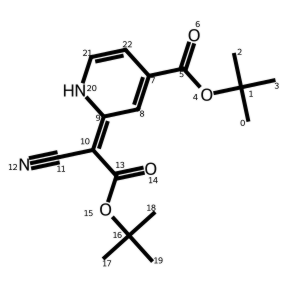 CC(C)(C)OC(=O)C1=CC(=C(C#N)C(=O)OC(C)(C)C)NC=C1